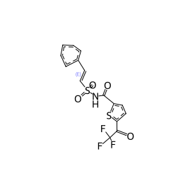 O=C(NS(=O)(=O)/C=C/c1ccccc1)c1ccc(C(=O)C(F)(F)F)s1